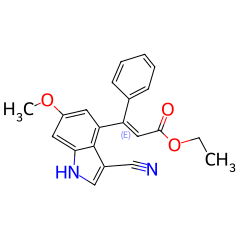 CCOC(=O)/C=C(\c1ccccc1)c1cc(OC)cc2[nH]cc(C#N)c12